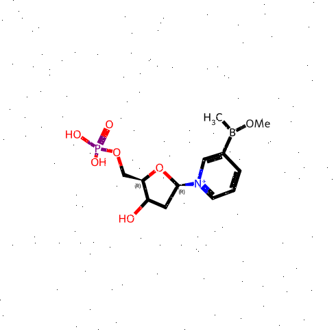 COB(C)c1ccc[n+]([C@H]2CC(O)[C@@H](COP(=O)(O)O)O2)c1